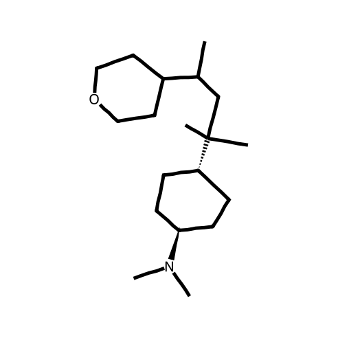 CC(CC(C)(C)[C@H]1CC[C@H](N(C)C)CC1)C1CCOCC1